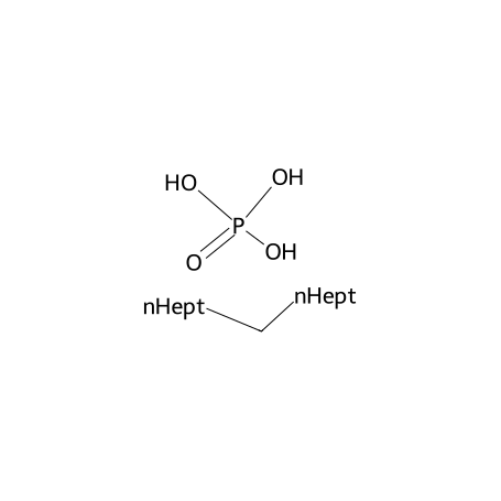 CCCCCCCCCCCCCCC.O=P(O)(O)O